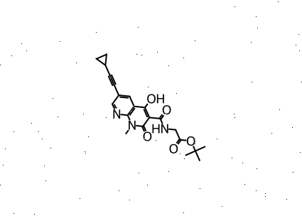 Cn1c(=O)c(C(=O)NCC(=O)OC(C)(C)C)c(O)c2cc(C#CC3CC3)cnc21